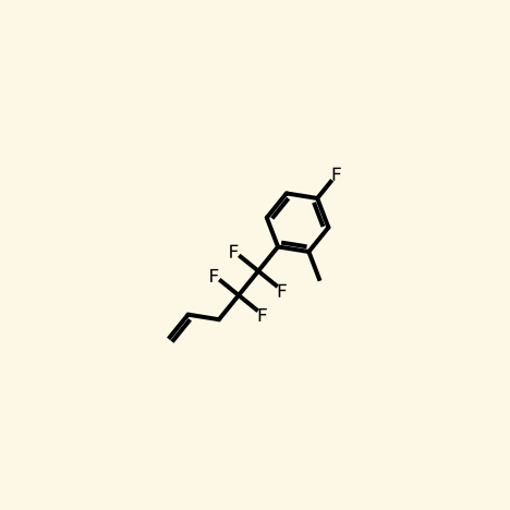 C=CCC(F)(F)C(F)(F)c1ccc(F)cc1C